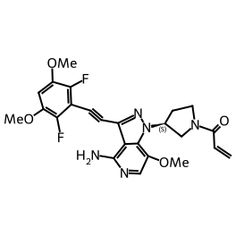 C=CC(=O)N1CC[C@H](n2nc(C#Cc3c(F)c(OC)cc(OC)c3F)c3c(N)ncc(OC)c32)C1